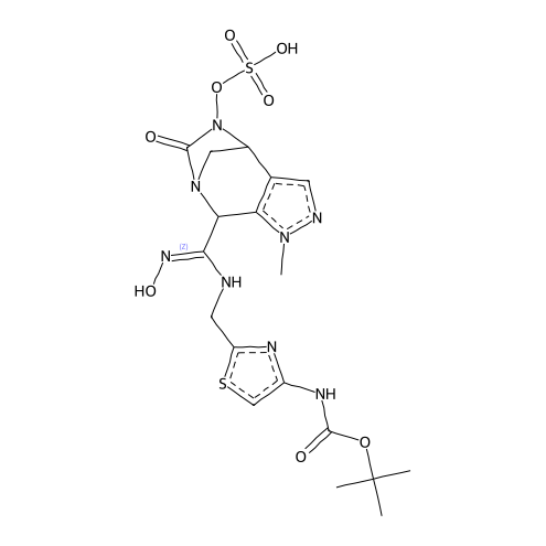 Cn1ncc2c1C(/C(=N/O)NCc1nc(NC(=O)OC(C)(C)C)cs1)N1CC2N(OS(=O)(=O)O)C1=O